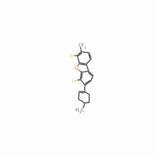 CC1CC=C(c2ccc3c(oc4c(F)c(C(F)(F)F)ccc43)c2F)CC1